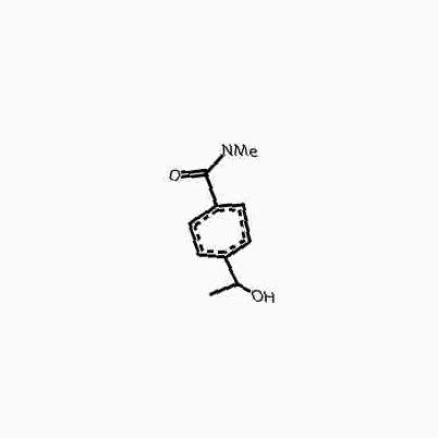 CNC(=O)c1ccc(C(C)O)cc1